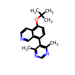 Cc1ncnc(C)c1-c1ccc(OC(C)(C)C)c2ccncc12